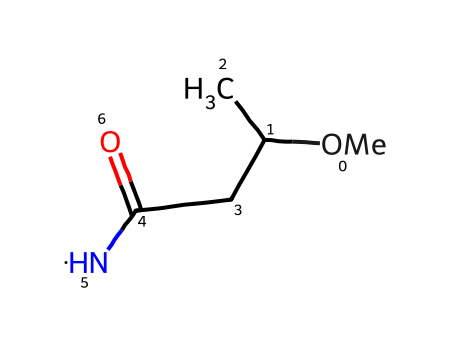 COC(C)CC([NH])=O